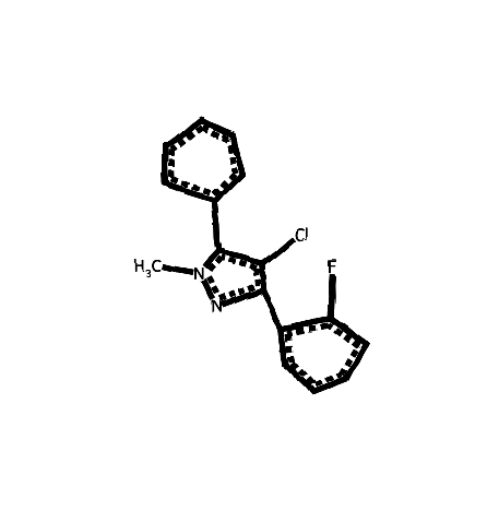 Cn1nc(-c2ccccc2F)c(Cl)c1-c1ccccc1